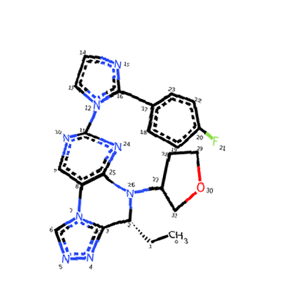 CC[C@@H]1c2nncn2-c2cnc(-n3ccnc3-c3ccc(F)cc3)nc2N1C1CCOC1